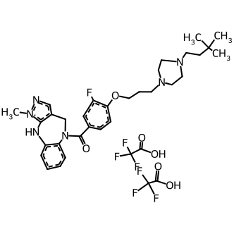 Cn1ncc2c1Nc1ccccc1N(C(=O)c1ccc(OCCCN3CCN(CCC(C)(C)C)CC3)c(F)c1)C2.O=C(O)C(F)(F)F.O=C(O)C(F)(F)F